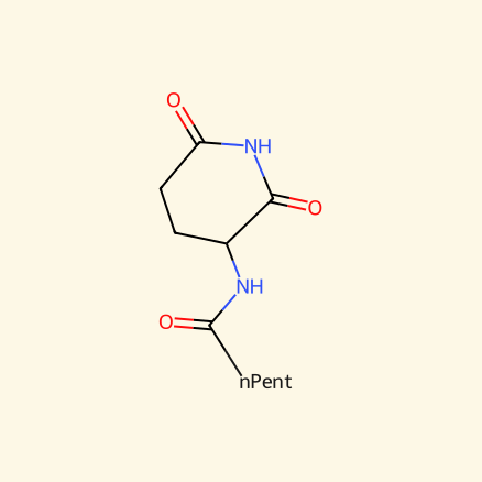 CCCCCC(=O)NC1CCC(=O)NC1=O